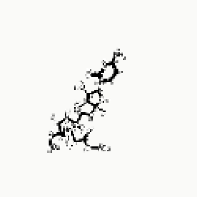 CCCCOC(=O)[C@H](C)NP(=O)(CO[C@@]1(C)O[C@@H](n2ccc(N)nc2=O)[C@H](O)[C@@H]1O)N[C@@H](C)C(=O)OCCCC